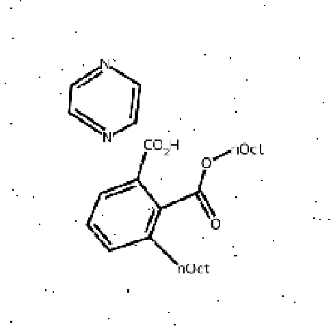 CCCCCCCCOC(=O)c1c(CCCCCCCC)cccc1C(=O)O.c1cnccn1